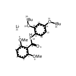 COc1cccc(OC)c1C(=O)Pc1ccc(OC(C)(C)C)cc1OC(C)(C)C.[Li]